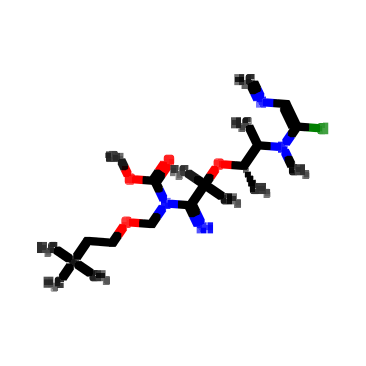 C=N/C=C(/Cl)N(C)C(C)[C@H](C)OC(C)(C(=N)N(COCC[Si](C)(C)C)C(=O)OC(C)(C)C)C(F)(F)F